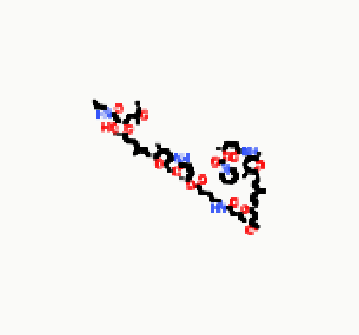 CCCNC(=O)C[C@H](C[C@@]1(C)O[C@@H]1C)O[C@H](/C=C/C(C)=C/C[C@@H]1O[C@H](C)[C@H](NC(=O)/C=C\[C@H](C)OC(=O)CCCCNC(=O)C[C@@H]2C[C@@]3(CO3)C[C@@H](/C=C/C(C)=C/C[C@@H]3O[C@H](C)[C@H](NC(=O)/C=C\[C@H](C)OC(=O)N4CCCCC4)C[C@@H]3C)O2)C[C@@H]1C)CO